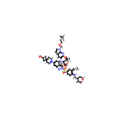 C[Si](C)(C)CCOCn1ccc2cc3c(nc21)O[C@@H]1COC[C@H]1N3c1cc(N2CCC3(CC2)CC(=O)C3)ccc1C(=O)NS(=O)(=O)c1ccc(NCC2CCOCC2)c([N+](=O)[O-])c1